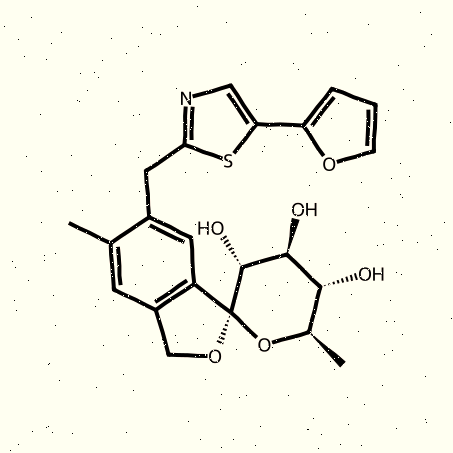 Cc1cc2c(cc1Cc1ncc(-c3ccco3)s1)[C@]1(OC2)O[C@H](C)[C@@H](O)[C@H](O)[C@H]1O